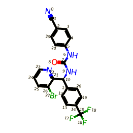 N#Cc1ccc(NC(=O)N[C@@H](c2ccc(C(F)(F)F)cc2)c2ncccc2Br)cc1